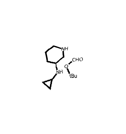 C1CNC[C@@H](NC2CC2)C1.CC(C)(C)OC=O